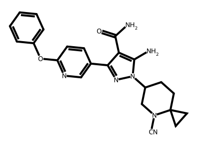 N#CN1CC(n2nc(-c3ccc(Oc4ccccc4)nc3)c(C(N)=O)c2N)CCC12CC2